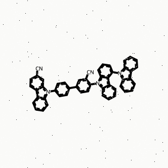 N#Cc1ccc2c3ccccc3n(-c3ccc(-c4ccc(-n5c6ccccc6c6c(-n7c8ccccc8c8ccccc87)cccc65)c(C#N)c4)cc3)c2c1